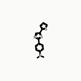 CN(C)c1ccc(-c2ncc(-c3cccs3)s2)cc1